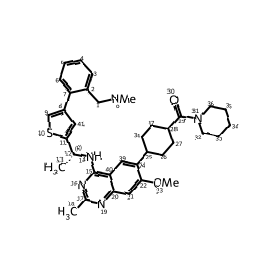 CNCc1ccccc1-c1csc([C@@H](C)Nc2nc(C)nc3cc(OC)c(C4CCC(C(=O)N5CCCCC5)CC4)cc23)c1